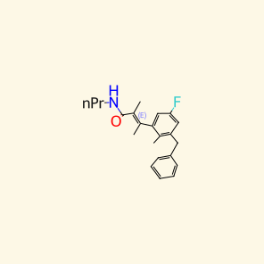 CCCNC(=O)/C(C)=C(\C)c1cc(F)cc(Cc2ccccc2)c1C